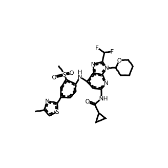 Cc1csc(-c2ccc(Nc3cc(NC(=O)C4CC4)nc4c3nc(C(F)F)n4C3CCCCO3)c(S(C)(=O)=O)c2)n1